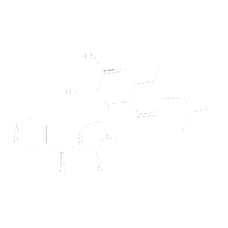 C[C@H](C(N)=O)N(c1ccc(OC(F)F)c(F)c1)c1nc(N)c(C(=O)c2ccncc2)s1